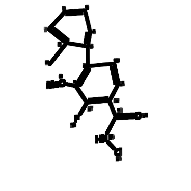 COc1c(-c2ccccc2C)ccc(C(=O)NCl)c1F